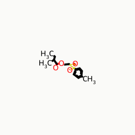 CCC(C)C(=O)OCCS(=O)(=O)c1ccc(C)cc1